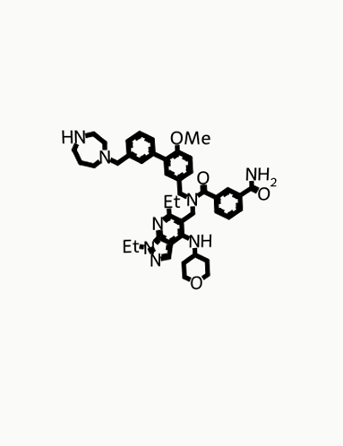 CCc1nc2c(cnn2CC)c(NC2CCOCC2)c1CN(Cc1ccc(OC)c(-c2cccc(CN3CCCNCC3)c2)c1)C(=O)c1cccc(C(N)=O)c1